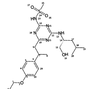 CCOc1ccc(C(C)Cc2nc(N[C@@H](CO)CC(C)C)nc(NS(C)(=O)=O)n2)cc1